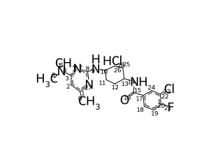 Cc1cc(N(C)C)nc(NC2CCC(NC(=O)c3ccc(F)c(Cl)c3)CC2)n1.Cl